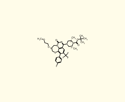 COCCO[C@H]1CSc2c(-c3ccc(F)cc3)c(C(F)(F)F)cc3c(N4C[C@@H](C)N(C(=O)OC(C)(C)C)[C@@H](C)C4)nc(=O)n(c23)C1